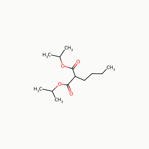 CCCCC(C(=O)OC(C)C)C(=O)OC(C)C